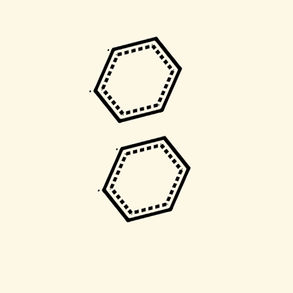 [c]1[c]cccc1.[c]1[c]cccc1